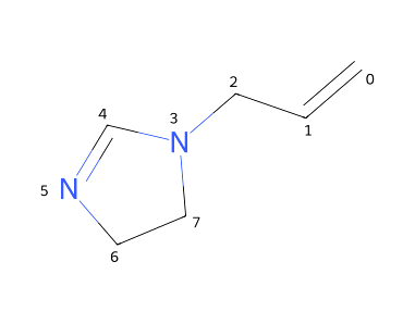 C=CCN1C=NCC1